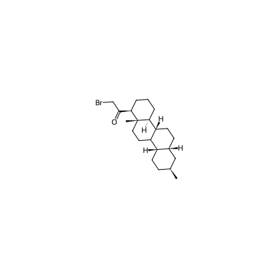 C[C@H]1CC[C@@H]2C3CC[C@]4(C)[C@@H](C(=O)CBr)CCC[C@H]4[C@@H]3CC[C@@H]2C1